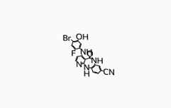 N#Cc1ccc2c(c1)NC(=O)c1c(Nc3cc(O)c(Br)cc3F)ccnc1N2